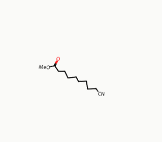 COC(=O)CCCCCCCCC#N